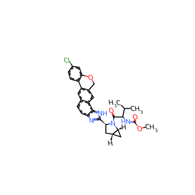 COC(=O)NC(C(=O)N1[C@@H]2C[C@@H]2C[C@H]1c1nc2ccc3cc4c(cc3c2[nH]1)COc1cc(Cl)ccc1-4)C(C)C